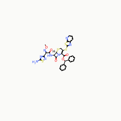 CO/N=C(\C(=O)NC1C(=O)N2C(C(=O)OC(c3ccccc3)c3ccccc3)=C(Sc3nc4cccnc4s3)CS[C@H]12)c1nsc(N)n1